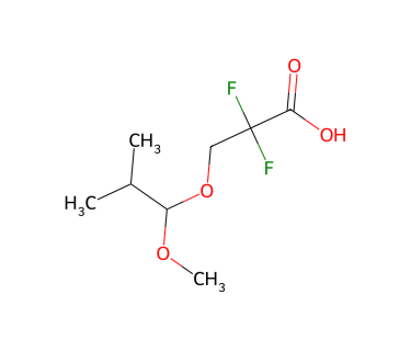 COC(OCC(F)(F)C(=O)O)C(C)C